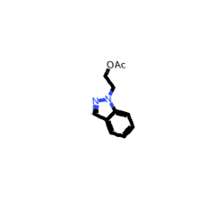 CC(=O)OCCn1n[c]c2ccccc21